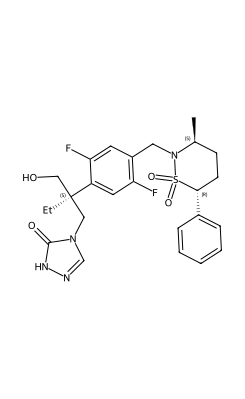 CC[C@@](CO)(Cn1cn[nH]c1=O)c1cc(F)c(CN2[C@@H](C)CC[C@H](c3ccccc3)S2(=O)=O)cc1F